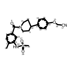 Cc1ccc(C(=O)N2CCC(c3ccc(OCC#N)cc3)CC2)cc1NS(C)(=O)=O